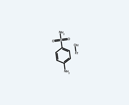 CCO.Nc1ccc(S(N)(=O)=O)cc1